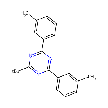 Cc1cccc(-c2nc(-c3cccc(C)c3)nc(C(C)(C)C)n2)c1